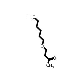 CCCCCCOCCC(C)=O